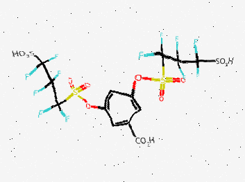 O=C(O)c1cc(OS(=O)(=O)C(F)(F)C(F)(F)C(F)(F)S(=O)(=O)O)cc(OS(=O)(=O)C(F)(F)C(F)(F)C(F)(F)S(=O)(=O)O)c1